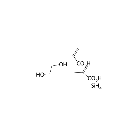 C=C(C)C(=O)O.C=C(C)C(=O)O.OCCO.[SiH4]